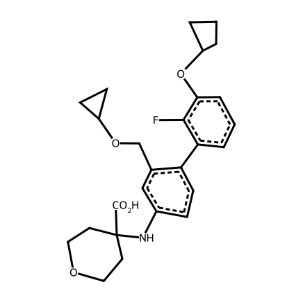 O=C(O)C1(Nc2ccc(-c3cccc(OC4CCC4)c3F)c(COC3CC3)c2)CCOCC1